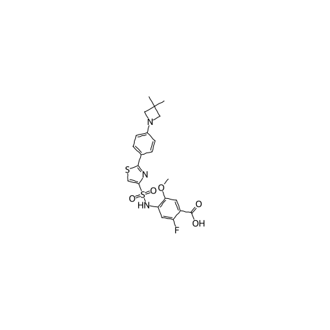 COc1cc(C(=O)O)c(F)cc1NS(=O)(=O)c1csc(-c2ccc(N3CC(C)(C)C3)cc2)n1